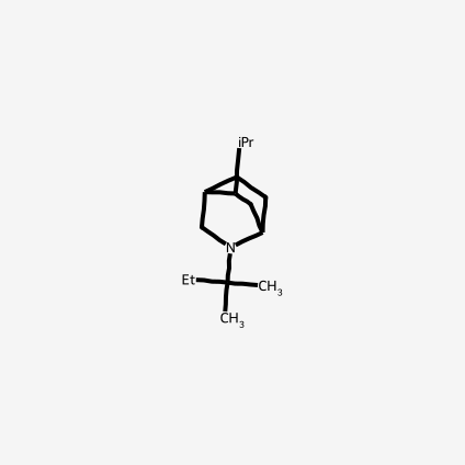 CCC(C)(C)N1CC2CCC1CC2C(C)C